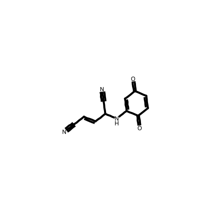 N#CC=CC(C#N)NC1=CC(=O)C=CC1=O